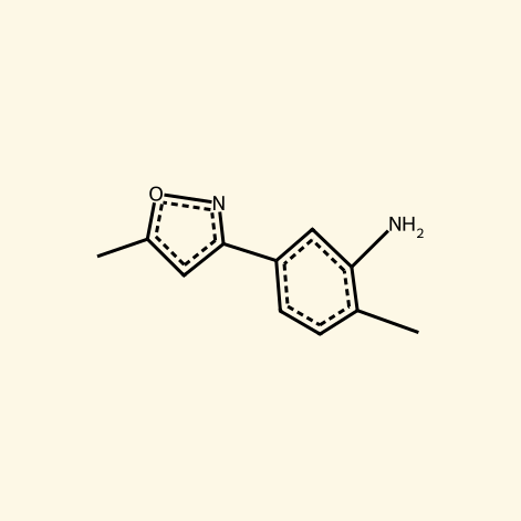 Cc1cc(-c2ccc(C)c(N)c2)no1